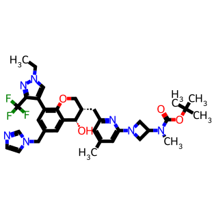 CCn1cc(-c2cc(Cn3ccnc3)cc3c2OC[C@H](Cc2cc(C)cc(N4CC(N(C)C(=O)OC(C)(C)C)C4)n2)[C@@H]3O)c(C(F)(F)F)n1